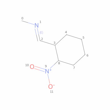 C/N=C/C1CCCCC1[N+](=O)[O-]